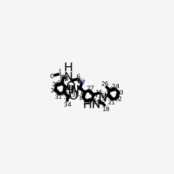 CC[C@H](NC(=O)/C=C\C(=N)c1cccc(CN(C(C)=N)c2ccccc2C)c1)c1cccc(C(C)=O)c1